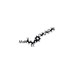 CCC(/C=C/C1(C)CCC(OCCOCCOCCF)CC1)CCC(C)NC